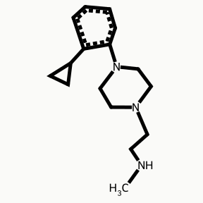 CNCCN1CCN(c2ccccc2C2CC2)CC1